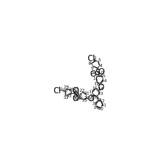 O=S(=O)(c1ccc(Cl)cc1)c1ccc(Oc2ccc(Oc3ccc(S(=O)(=O)c4ccc(Cl)cc4)cc3)c(-c3ccccc3)c2)cc1